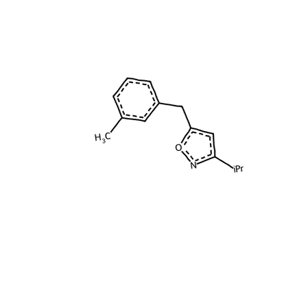 Cc1cccc(Cc2cc(C(C)C)no2)c1